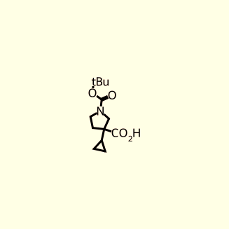 CC(C)(C)OC(=O)N1CCC(C(=O)O)(C2CC2)C1